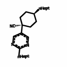 CCCCCCCc1ncc([C@]2(C#N)CC[C@H](CCCCCCC)CC2)cn1